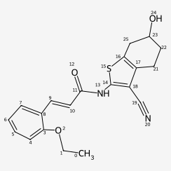 CCOc1ccccc1C=CC(=O)Nc1sc2c(c1C#N)CCC(O)C2